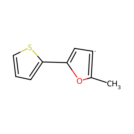 Cc1[c]cc(-c2cccs2)o1